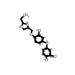 CCC1OCC(COc2ccc(Oc3ccc(Cl)c(Cl)c3)cc2Cl)O1